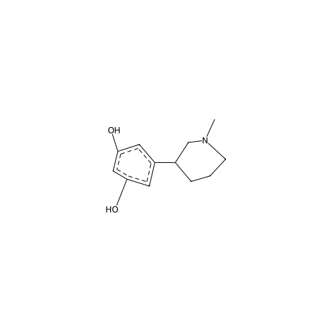 CN1CCCC(c2cc(O)cc(O)c2)C1